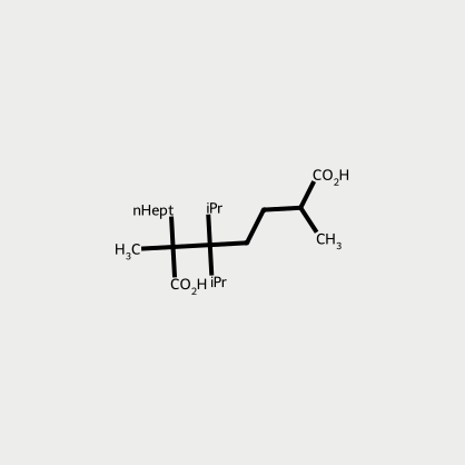 CCCCCCCC(C)(C(=O)O)C(CCC(C)C(=O)O)(C(C)C)C(C)C